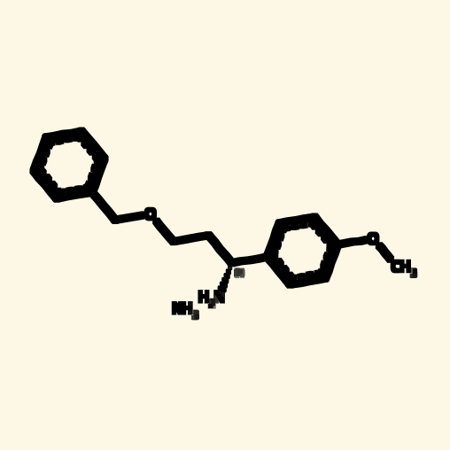 COc1ccc([C@H](N)CCOCc2ccccc2)cc1.N